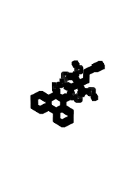 C#CCCC(C(=O)OC)(C(=O)OC)c1nnc2c3ccccc3c3ccccc3c2n1